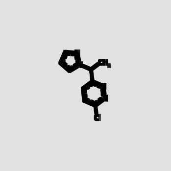 CC(c1ccc(Cl)nn1)n1cccn1